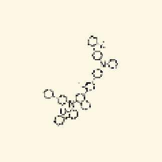 CC1(C)c2ccccc2-c2ccc(N(c3ccccc3)c3ccc(-c4ccc5c(c4)C(C)(C)c4cc(N(c6ccc(-c7ccccc7)cc6)c6cccc7c6oc6ccccc67)c6ccccc6c4-5)cc3)cc21